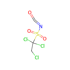 O=C=NS(=O)(=O)C(Cl)(Cl)CCl